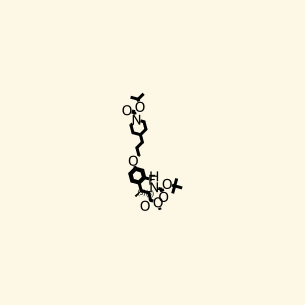 COC(=O)[C@@H](NC(=O)OC(C)(C)C)[C@@H](C)c1ccc(OCCCC2CCN(C(=O)OC(C)C)CC2)cc1F